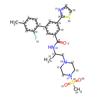 Cc1ccc(-c2cc(C(=O)NC(C)CN3CCN(S(C)(=O)=O)CC3)cc(-c3nccs3)c2)c(F)c1